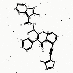 Cc1ncsc1C#Cc1cccc2oc(C(C)NC(=O)c3c(C)nn4cccnc34)c(-c3ccccc3)c(=O)c12